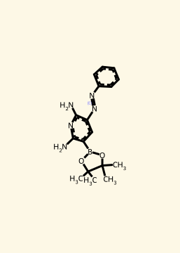 CC1(C)OB(c2cc(/N=N/c3ccccc3)c(N)nc2N)OC1(C)C